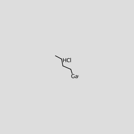 CCC[CH2][Ga].Cl